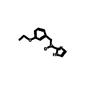 CCOc1cccc(C[S+]([O-])c2ncc[nH]2)c1